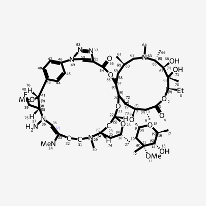 CC[C@H]1OC(=O)[C@H](C)[C@@H](O[C@H]2C[C@@](C)(OC)[C@@H](O)[C@H](C)O2)C[C@H]2O[C@H]3C[C@H](C[C@@H](C)O3)N(C)CC/C(NC)=C/N(N)[C@H](CF)[C@H](OC)c3ccc(cc3)-n3cc(nn3)C(=O)O[C@]2(C)C[C@@H](C)CN(C)[C@H](C)[C@@H](O)[C@]1(C)O